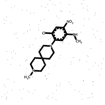 CBc1cc(N2CCC3(CCN(C)CC3)CC2)c(Cl)cc1[N+](=O)[O-]